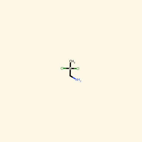 C[Si](Cl)(Cl)CN